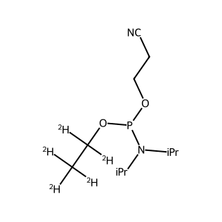 [2H]C([2H])([2H])C([2H])([2H])OP(OCCC#N)N(C(C)C)C(C)C